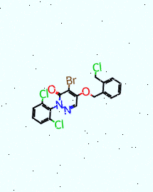 O=c1c(Br)c(OCc2ccccc2CCl)cnn1-c1c(Cl)cccc1Cl